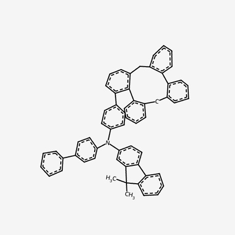 CC1(C)c2ccccc2-c2ccc(N(c3ccc(-c4ccccc4)cc3)c3ccc(-c4cccc5c4-c4ccccc4Cc4ccccc4-c4ccccc4C5)cc3)cc21